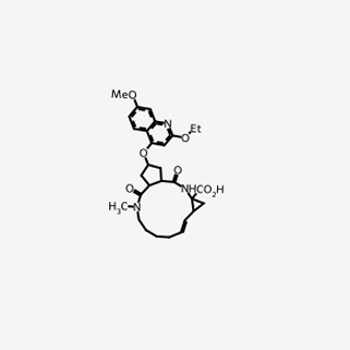 CCOc1cc(OC2CC3C(=O)NC4(C(=O)O)CC4/C=C/CCCCN(C)C(=O)C3C2)c2ccc(OC)cc2n1